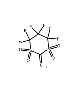 C=C1S(=O)(=O)C(F)(F)C(F)(F)C(F)(F)S1(=O)=O